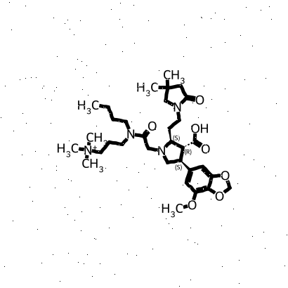 CCCCN(CCC[N+](C)(C)C)C(=O)CN1C[C@H](c2cc(OC)c3c(c2)OCO3)[C@@H](C(=O)O)[C@@H]1CCN1CC(C)(C)CC1=O